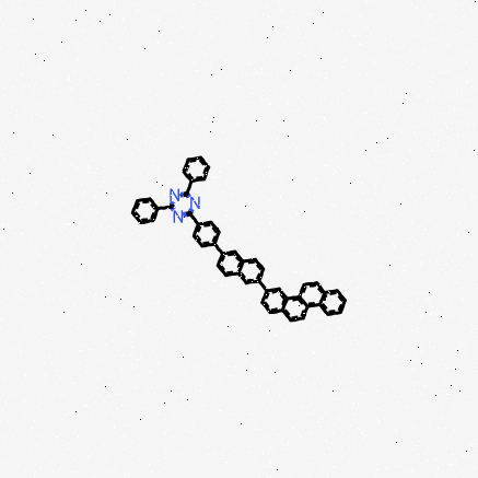 c1ccc(-c2nc(-c3ccccc3)nc(-c3ccc(-c4ccc5cc(-c6ccc7ccc8c9ccccc9ccc8c7c6)ccc5c4)cc3)n2)cc1